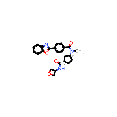 CN(C(=O)c1ccc(-c2nc3ccccc3o2)cc1)[C@@H]1CC[C@H](C(=O)NC2COC2)C1